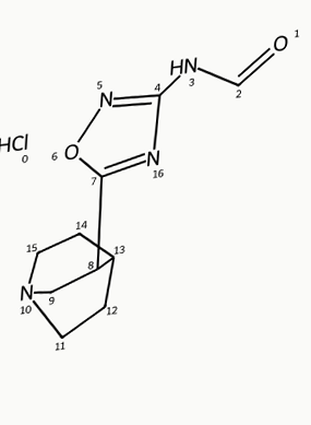 Cl.O=CNc1noc(C2CN3CCC2CC3)n1